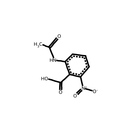 CC(=O)Nc1cccc([N+](=O)[O-])c1C(=O)O